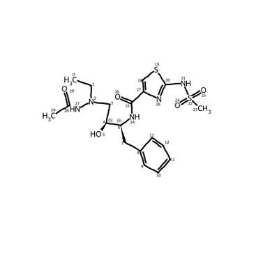 CCN(C[C@H](O)[C@H](Cc1ccccc1)NC(=O)c1csc(NS(C)(=O)=O)n1)NC(C)=O